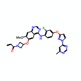 C=CC(=O)N1CC(Oc2cc3c(Nc4ccc(Oc5ccn(-c6cc(C)ncn6)n5)cc4F)ncnc3cc2OC)C1